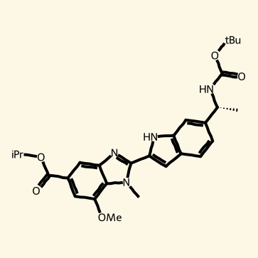 COc1cc(C(=O)OC(C)C)cc2nc(-c3cc4ccc([C@@H](C)NC(=O)OC(C)(C)C)cc4[nH]3)n(C)c12